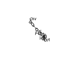 OCCOc1ccc(-c2ccc(-c3nc4cc(OC5CO[C@@H]6C(O)CO[C@H]56)[nH]c4cc3F)cc2)cc1